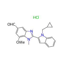 COc1cc(C=O)cc2nc(-c3cc4ccccc4n3CC3CC3)n(C)c12.Cl